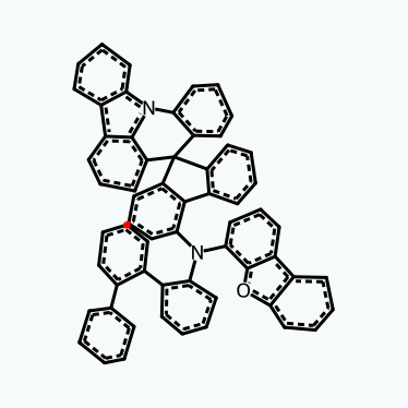 c1ccc(-c2ccccc2-c2ccccc2N(c2cccc3c2-c2ccccc2C32c3ccccc3-n3c4ccccc4c4cccc2c43)c2cccc3c2oc2ccccc23)cc1